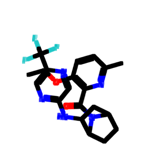 CCOc1ccc(C)nc1C(=O)N1C2CCC1C(Nc1cnc(C(F)(F)F)cn1)C2